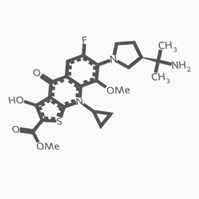 COC(=O)c1sc2c(c1O)c(=O)c1cc(F)c(N3CC[C@@H](C(C)(C)N)C3)c(OC)c1n2C1CC1